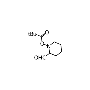 CC(C)(C)C(=O)ON1CCCCC1C=O